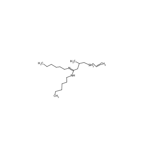 C=CC[SiH2]CC(C)CC(=NCCCCCC)NCCCCCC